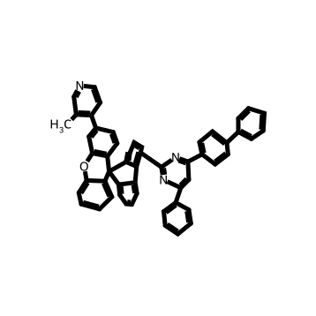 Cc1cnccc1-c1ccc2c(c1)Oc1ccccc1C21c2ccccc2-c2c(-c3nc(-c4ccccc4)cc(-c4ccc(-c5ccccc5)cc4)n3)cccc21